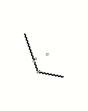 CCCCCCCCCCCCCCCCCC(=O)OCCCCCC[N+](C)(C)CCCCCCCCCCCCCCCC.[Cl-]